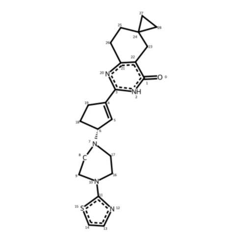 O=c1[nH]c(C2=C[C@H](N3CCN(c4nccs4)CC3)CC2)nc2c1CC1(CC2)CC1